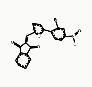 O=C1C(=Cc2ccc(-c3ccc([N+](=O)[O-])cc3Br)o2)C(=O)c2ccccc21